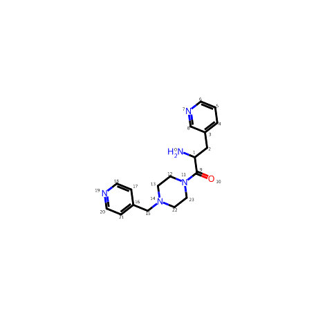 NC(Cc1cccnc1)C(=O)N1CCN(Cc2ccncc2)CC1